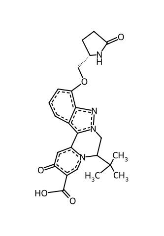 CC(C)(C)C1Cn2nc3c(OC[C@@H]4CCC(=O)N4)cccc3c2-c2cc(=O)c(C(=O)O)cn21